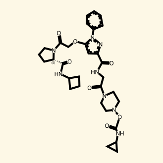 O=C(NC1CC1)ON1CCN(C(=O)CNC(=O)c2cc(OCC(=O)N3CCC[C@H]3C(=O)NC3CCC3)n(-c3ccccc3)n2)CC1